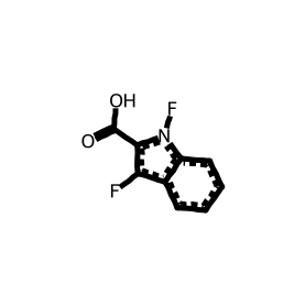 O=C(O)c1c(F)c2ccccc2n1F